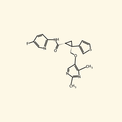 Cc1ncc(OC[C@@]2(c3ccsc3)C[C@H]2C(=O)Nc2ccc(F)cn2)c(C)n1